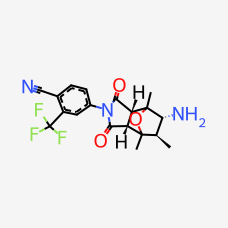 C[C@@H]1[C@@H](N)C2(C)OC1(C)[C@@H]1C(=O)N(c3ccc(C#N)c(C(F)(F)F)c3)C(=O)[C@@H]12